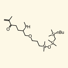 C=C(C)C(=O)CCC(COCCC[Si](C)(C)O[Si](C)(C)C[Si](C)(C)CCCC)PC